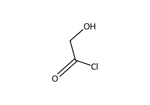 O=C(Cl)CO